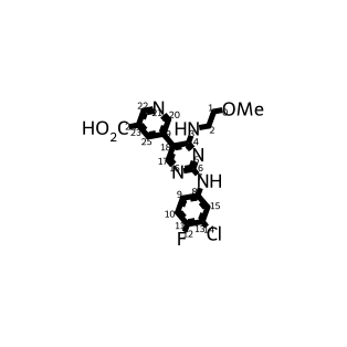 COCCNc1nc(Nc2ccc(F)c(Cl)c2)ncc1-c1cncc(C(=O)O)c1